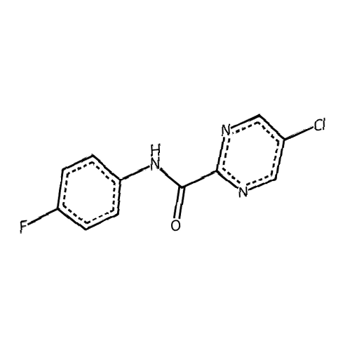 O=C(Nc1ccc(F)cc1)c1ncc(Cl)cn1